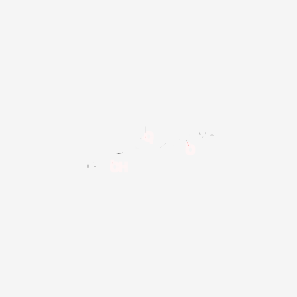 CCCCC(F)[C@H](O)/C=C/[C@@H]1[C@H]2C(F)[C@@H](/C=C/CCC(=O)OC)O[C@@H]2C[C@H]1C